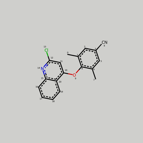 Cc1cc(C#N)cc(C)c1Oc1cc(Cl)nc2ccccc12